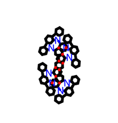 c1ccc(-n2c3ccccc3c3ccc4c5ccccc5n(-c5cc(-c6ccc(-c7cc(-n8c9ccccc9c9ccc%10c%11ccccc%11n(-c%11ccccc%11)c%10c98)cc(-n8c9ccccc9c9ccc%10c%11ccccc%11n(-c%11ccccc%11)c%10c98)c7)cc6)cc(-n6c7ccccc7c7ccc8c9ccccc9n(-c9ccccc9)c8c76)c5)c4c32)cc1